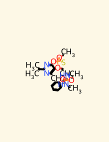 CCOP(=S)(OCC)Oc1cc(C)nc(C(C)C)n1.CNP(=O)(NC)Oc1ccccc1